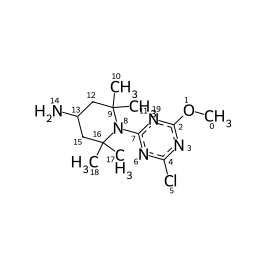 COc1nc(Cl)nc(N2C(C)(C)CC(N)CC2(C)C)n1